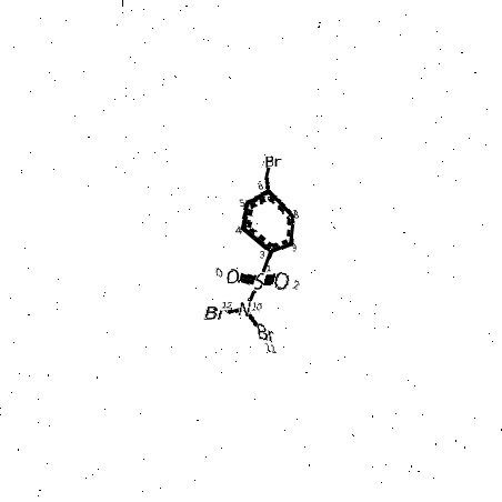 O=S(=O)(c1ccc(Br)cc1)N(Br)Br